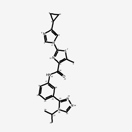 Cc1sc(-n2cnc(C3CC3)c2)nc1C(=O)Nc1cccc(-c2nncn2C(C)C)c1